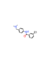 CCc1cccc(C(=O)Nc2ccc(CN(C)C)cc2)c1